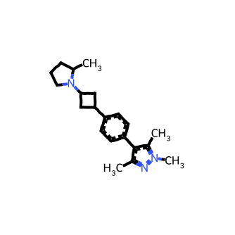 Cc1nn(C)c(C)c1-c1ccc(C2CC(N3CCCC3C)C2)cc1